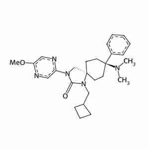 COc1cnc(N2C[C@]3(CC[C@](c4ccccc4)(N(C)C)CC3)N(CC3CCC3)C2=O)cn1